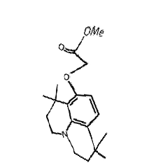 COC(=O)COc1ccc2c3c1C(C)(C)CCN3CCC2(C)C